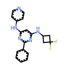 FC1(F)CC(Nc2cc(Nc3ccncc3)nc(-c3ccccc3)n2)C1